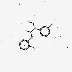 CCN(c1cccc(C)c1)C(C)Oc1ccccc1Cl